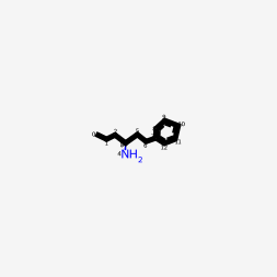 CCC[C@@H](N)CCc1ccccc1